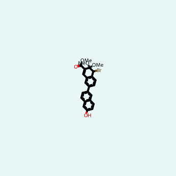 COC(=O)C1=Cc2cc(-c3ccc4cc(O)ccc4c3)ccc2C(Br)C1(OC)OC